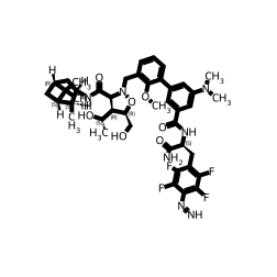 COc1c(CN2O[C@@H](CO)[C@@H]([C@H](C)O)C2C(=O)N[C@H]2C[C@H]3C[C@@H]([C@@H]2C)C3(C)C)cccc1-c1cc(C(=O)N[C@@H](Cc2c(F)c(F)c(N=N)c(F)c2F)C(N)=O)cc(N(C)C)c1